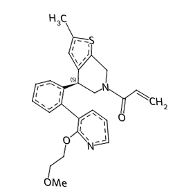 C=CC(=O)N1Cc2sc(C)cc2[C@H](c2ccccc2-c2cccnc2OCCOC)C1